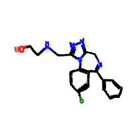 OCCNCc1nnc2n1-c1ccc(Cl)cc1C(c1ccccc1)=NC2